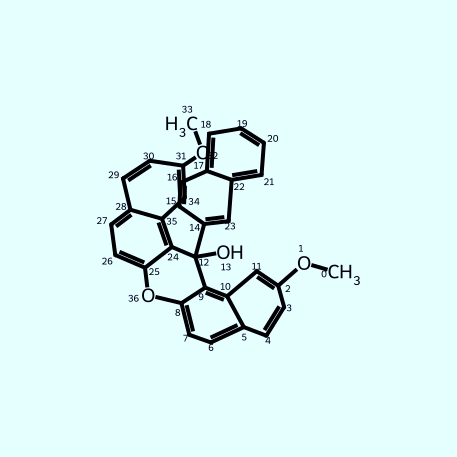 COc1ccc2ccc3c(c2c1)C(O)(c1ccc2ccccc2c1)c1c(ccc2ccc(OC)cc12)O3